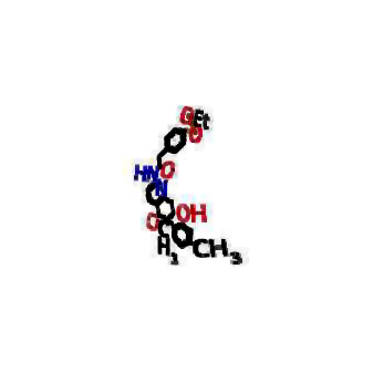 CCS(=O)(=O)c1ccc(CC(=O)Nc2ccc3c(n2)CCC(C)(c2ccc(C)cc2O)C3=O)cc1